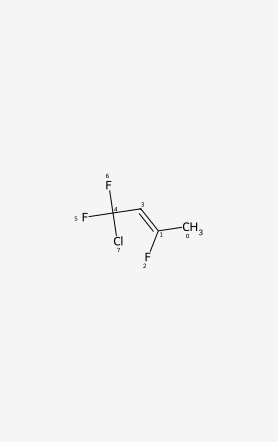 CC(F)=CC(F)(F)Cl